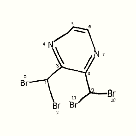 BrC(Br)c1nccnc1C(Br)Br